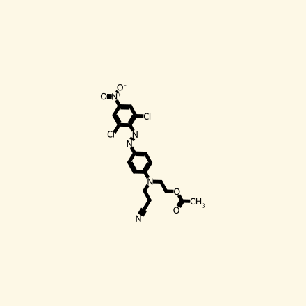 CC(=O)OCCN(CCC#N)c1ccc(N=Nc2c(Cl)cc([N+](=O)[O-])cc2Cl)cc1